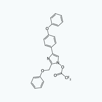 O=C(On1cc(-c2ccc(Oc3ccccc3)cc2)nc1COc1ccccc1)C(F)(F)F